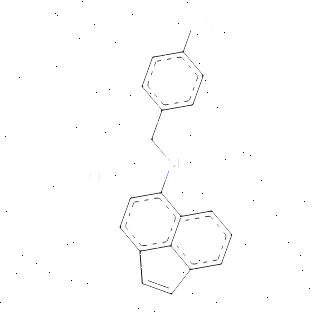 CC(C)(C)c1ccc(CNc2ccc3c4c(cccc24)C=C3)cc1.Cl